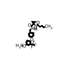 CCCCC(=O)NC1(C(=O)NCc2ccc(Oc3ccc(OC)cc3C(F)(F)F)cc2)CC1